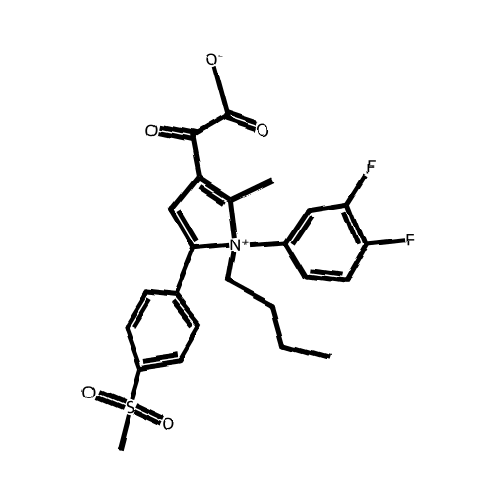 CCCC[N+]1(c2ccc(F)c(F)c2)C(c2ccc(S(C)(=O)=O)cc2)=CC(C(=O)C(=O)[O-])=C1C